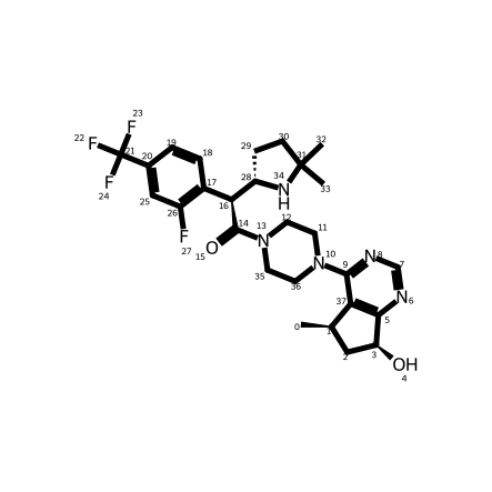 C[C@@H]1C[C@H](O)c2ncnc(N3CCN(C(=O)[C@@H](c4ccc(C(F)(F)F)cc4F)[C@@H]4CCC(C)(C)N4)CC3)c21